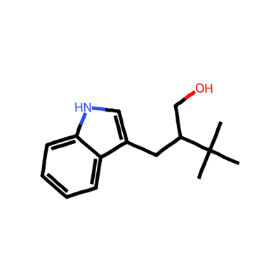 CC(C)(C)C(CO)Cc1c[nH]c2ccccc12